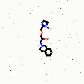 CCn1ccnc1COCC(O)CN1CCc2ccccc2C1